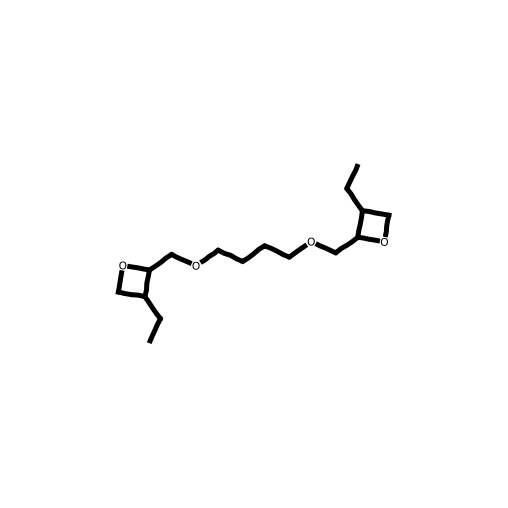 CCC1COC1COCCCCOCC1OCC1CC